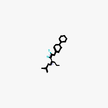 CCCC(=C/CC(C)C)/C(F)=C(/F)CC1=CCC(C2CCCCC2)CC1